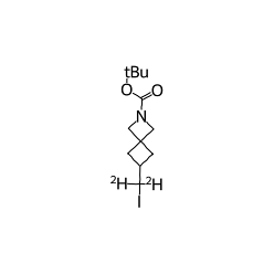 [2H]C([2H])(I)C1CC2(C1)CN(C(=O)OC(C)(C)C)C2